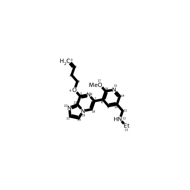 C=CCCOc1nc(-c2cc(CNCC)cnc2OC)cn2ccnc12